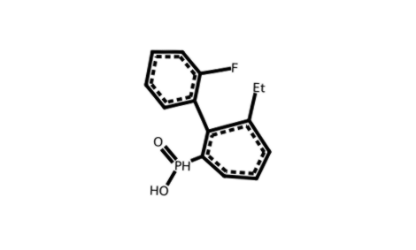 CCc1cccc([PH](=O)O)c1-c1ccccc1F